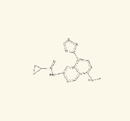 CNc1ncc(-c2ccsn2)c2cc(NC(=O)C3CC3)ncc12